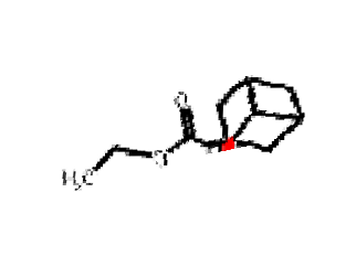 CCOC(=O)CC1C2CNCC1C2